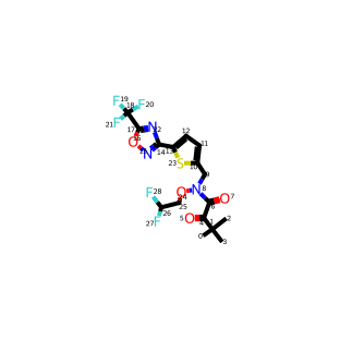 CC(C)(C)C(=O)C(=O)N(Cc1ccc(-c2noc(C(F)(F)F)n2)s1)OCC(F)F